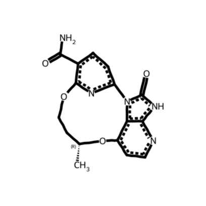 C[C@@H]1CCOc2nc(ccc2C(N)=O)-n2c(=O)[nH]c3nccc(c32)O1